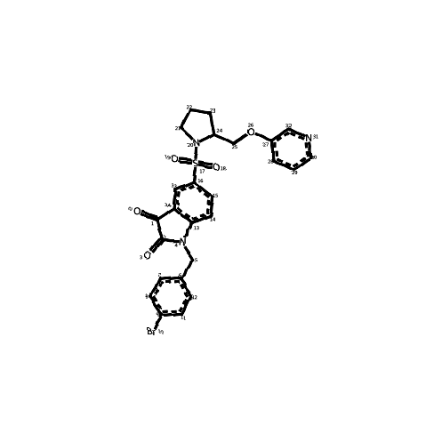 O=C1C(=O)N(Cc2ccc(Br)cc2)c2ccc(S(=O)(=O)N3CCCC3COc3cccnc3)cc21